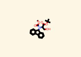 COC(=O)N(C(CO)C(=O)OC(C)(C)C)C1c2ccccc2-c2ccccc21